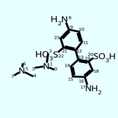 CN(C)C.CN(C)C.Nc1ccc(-c2ccc(N)cc2S(=O)(=O)O)c(S(=O)(=O)O)c1